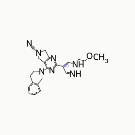 COCCN/C=C(\C=N)c1nc2c(c(N3CCc4ccccc4C3)n1)CN(C#N)C2